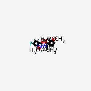 COc1cc(F)ccc1C(=O)NN(C(=O)c1cccc(OC)c1C)C(C)(C)C